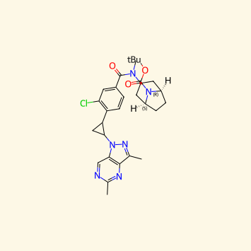 Cc1ncc2c(n1)c(C)nn2C1CC1c1ccc(C(=O)N(C)C2C[C@H]3CC[C@@H](C2)N3C(=O)OC(C)(C)C)cc1Cl